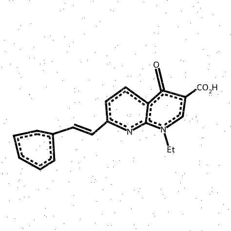 CCn1cc(C(=O)O)c(=O)c2ccc(C=Cc3ccccc3)nc21